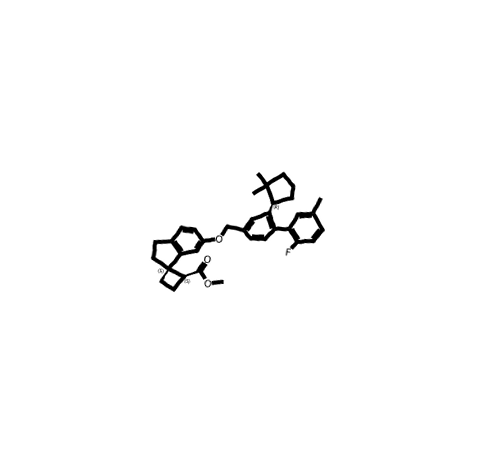 COC(=O)[C@H]1CC[C@]12CCc1ccc(OCc3ccc(-c4cc(C)ccc4F)c([C@@H]4CCCC4(C)C)c3)cc12